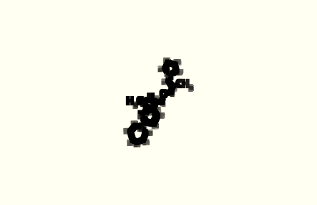 C[C@@H](COCc1nn(C)c2nc(N3CCCCCC3)ccc12)CN1CCCC1